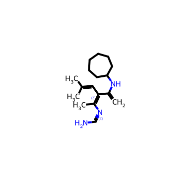 C=C(NC1CCCCCC1)/C(C=C(C)C)=C(C)\N=C/N